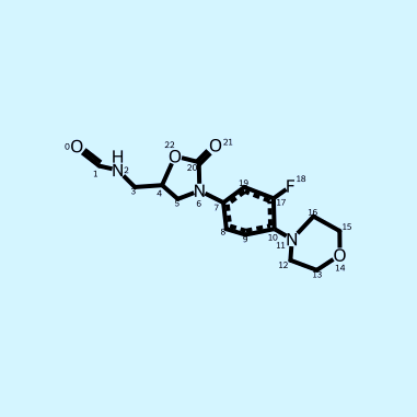 O=CNCC1CN(c2ccc(N3CCOCC3)c(F)c2)C(=O)O1